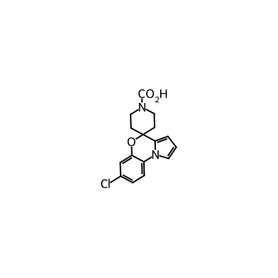 O=C(O)N1CCC2(CC1)Oc1cc(Cl)ccc1-n1cccc12